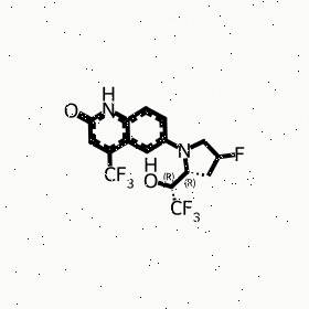 O=c1cc(C(F)(F)F)c2cc(N3CC(F)C[C@@H]3[C@@H](O)C(F)(F)F)ccc2[nH]1